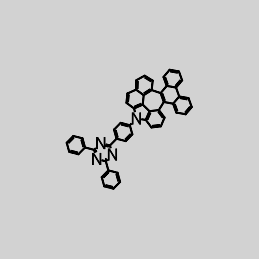 c1ccc(-c2nc(-c3ccccc3)nc(-c3ccc(-n4c5cccc6c5c5c7c(cccc7ccc54)-c4c-6c5ccccc5c5ccccc45)cc3)n2)cc1